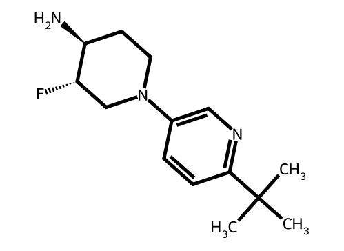 CC(C)(C)c1ccc(N2CC[C@H](N)[C@@H](F)C2)cn1